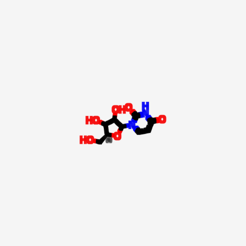 O=c1ccn([C]2O[C@@H](CO)C(O)C2O)c(=O)[nH]1